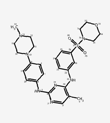 Cc1cnc(Nc2ccc(N3CCN(C)CC3)cc2)nc1Nc1cccc(S(=O)(=O)N2CCOCC2)c1